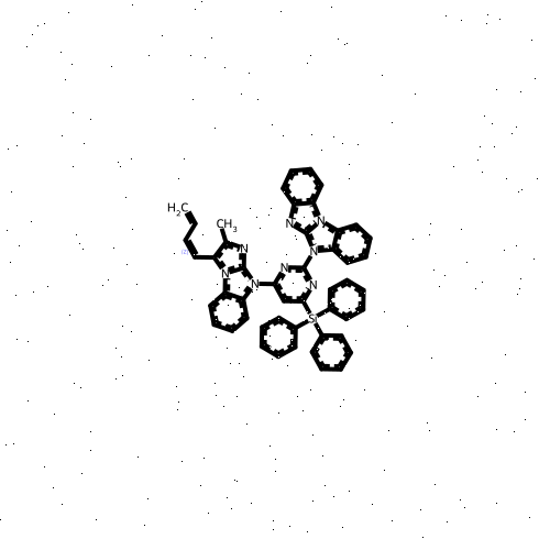 C=C/C=C\c1c(C)nc2n(-c3cc([Si](c4ccccc4)(c4ccccc4)c4ccccc4)nc(-n4c5ccccc5n5c6ccccc6nc45)n3)c3ccccc3n12